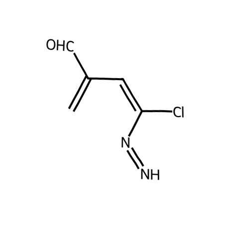 C=C(C=O)/C=C(/Cl)N=N